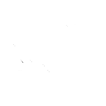 Cc1ccc(N(C(=O)[C@H]2CCNC2)c2ccc(OC3CCN(C(=O)c4ccccc4)CC3)cc2)nn1